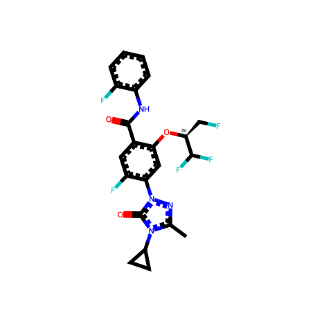 Cc1nn(-c2cc(O[C@@H](CF)C(F)F)c(C(=O)Nc3ccccc3F)cc2F)c(=O)n1C1CC1